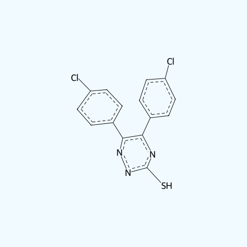 Sc1nnc(-c2ccc(Cl)cc2)c(-c2ccc(Cl)cc2)n1